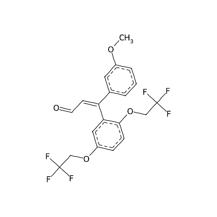 COc1cccc(C(=CC=O)c2cc(OCC(F)(F)F)ccc2OCC(F)(F)F)c1